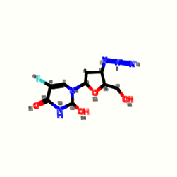 [N-]=[N+]=NC1CC(N2C=C(F)C(=O)NC2O)OC1CO